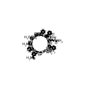 CC(C)C[C@@H]1NC(=O)[C@H](CC(N)=O)NC(=O)[C@H](Cc2cccnc2)N(C)C(=O)[C@@H](Cc2cccc(C(N)=O)c2)NC(=O)CSC[C@@H](C(N)=O)NC(=O)[C@H](Cc2cn(C)c3ccccc23)NC(=O)[C@H](CCCCNC(N)=O)NC(=O)[C@H](Cc2cn(C)c3c(Cl)cccc23)NC(=O)[C@H](Cc2ccccc2)N(C)C(=O)[C@H](CO)NC1=O